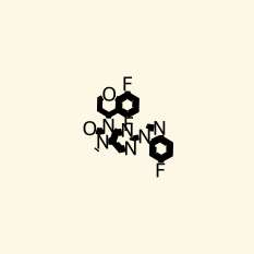 Cn1c(=O)n(C2CCOc3c(F)ccc(F)c32)c2nc(-n3cnc4ccc(F)cc43)ncc21